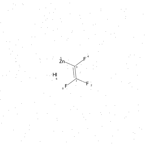 FC(F)=[C](F)[Zn].I